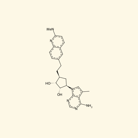 CNc1ccc2cc(CC[C@H]3C[C@@H](n4cc(C)c5c(N)ncnc54)[C@H](O)[C@@H]3O)ccc2n1